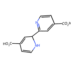 O=C(O)C1=CC(c2cc(C(=O)O)ccn2)NC=C1